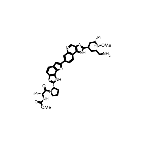 CON[C@H](CC(CCCN)c1nc2cnc3cc(-c4cc5ccc6nc([C@@H]7CCCN7C(=O)[C@@H](NC(=O)OC)C(C)C)[nH]c6c5o4)ccc3c2[nH]1)C(C)C